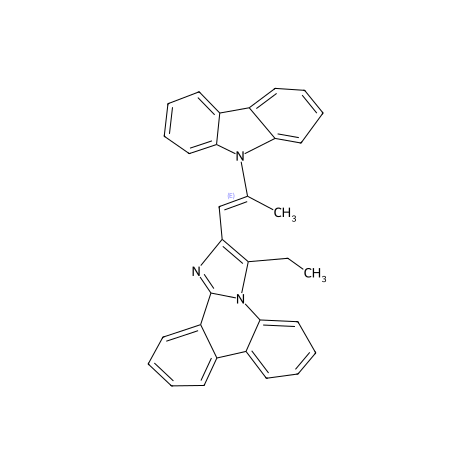 CCc1c(/C=C(\C)n2c3ccccc3c3ccccc32)nc2c3ccccc3c3ccccc3n12